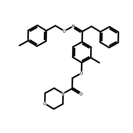 Cc1ccc(CON=C(Cc2ccccc2)c2ccc(OCC(=O)N3CCOCC3)c(C)c2)cc1